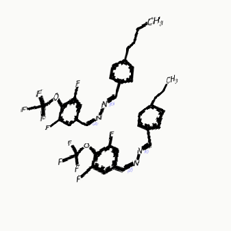 CCCCc1ccc(/C=N/N=C\c2cc(F)c(OC(F)(F)F)c(F)c2)cc1.CCCc1ccc(/C=N/N=C\c2cc(F)c(OC(F)(F)F)c(F)c2)cc1